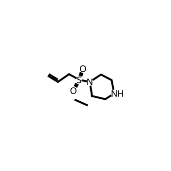 C=CCS(=O)(=O)N1CCNCC1.CC